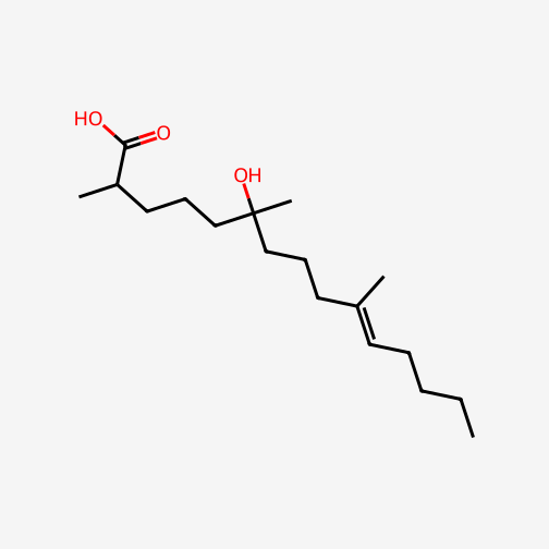 CCCC/C=C(\C)CCCC(C)(O)CCCC(C)C(=O)O